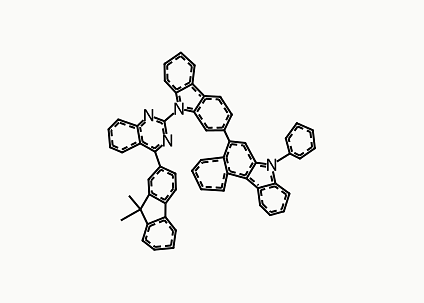 CC1(C)c2ccccc2-c2ccc(-c3nc(-n4c5ccccc5c5ccc(-c6cc7c(c8ccccc68)c6ccccc6n7-c6ccccc6)cc54)nc4ccccc34)cc21